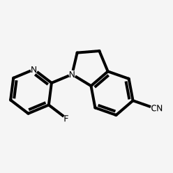 N#Cc1ccc2c(c1)CCN2c1ncccc1F